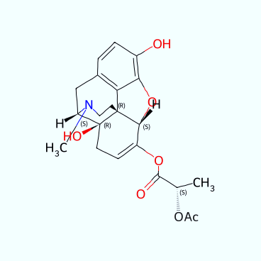 CC(=O)O[C@@H](C)C(=O)OC1=CC[C@]2(O)[C@@H]3Cc4ccc(O)c5c4[C@]2(CCN3C)[C@@H]1O5